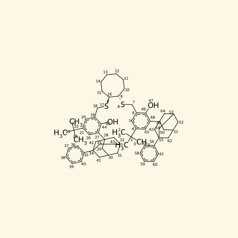 CC(C)(C)c1cc(CS[C@H]2CCCCCC[C@@H]2SCc2cc(C(C)(C)C)cc(C34CC5CC(CC(c6ccccc6)(C5)C3)C4)c2O)c(O)c(C23CC4CC(CC(c5ccccc5)(C4)C2)C3)c1